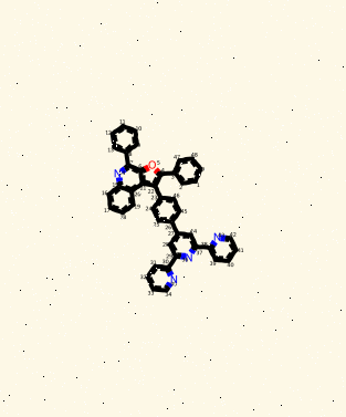 c1ccc(-c2oc3c(-c4ccccc4)nc4ccccc4c3c2-c2ccc(-c3cc(-c4ccccn4)nc(-c4ccccn4)c3)cc2)cc1